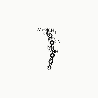 CO[C@@H](C)C(=O)N1CC[C@H](Oc2ccc(-c3ncnc(Nc4ccc(N5CCN(C6COC6)CC5)cc4)n3)cc2C#N)[C@@H](F)C1